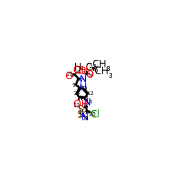 CC(C)(C)OC(=O)NC(Cc1ccc(/N=c2\ssnc2Cl)c(O)c1)C(=O)O